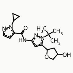 CC(C)(C)n1nc(NC(=O)c2ccnn2C2CC2)cc1C1CC(O)CO1